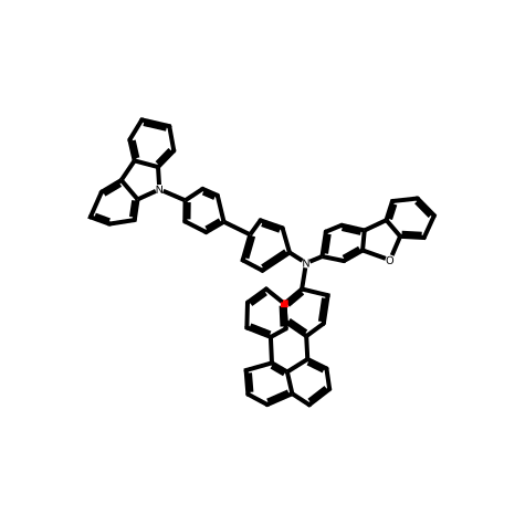 c1ccc(-c2cccc3cccc(-c4ccc(N(c5ccc(-c6ccc(-n7c8ccccc8c8ccccc87)cc6)cc5)c5ccc6c(c5)oc5ccccc56)cc4)c23)cc1